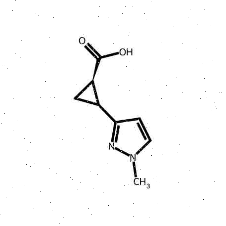 Cn1ccc(C2C[C@H]2C(=O)O)n1